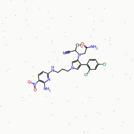 CC(C#N)N(CC(N)=O)c1cn(CCCNc2ccc([N+](=O)[O-])c(N)n2)cc1-c1ccc(Cl)cc1Cl